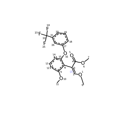 CO/C=C(\C(=O)OC)c1c(OC)ncnc1Oc1cccc(C(F)(F)F)c1